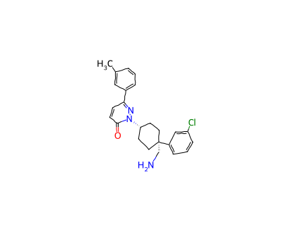 Cc1cccc(-c2ccc(=O)n([C@H]3CC[C@](CN)(c4cccc(Cl)c4)CC3)n2)c1